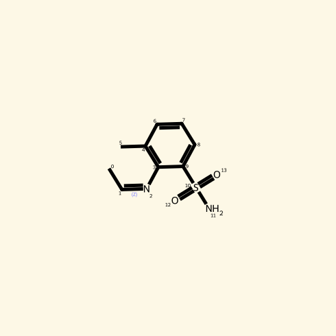 C/C=N\c1c(C)cccc1S(N)(=O)=O